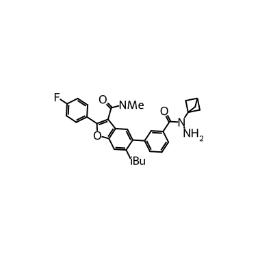 CCC(C)c1cc2oc(-c3ccc(F)cc3)c(C(=O)NC)c2cc1-c1cccc(C(=O)N(N)C23CC(C2)C3)c1